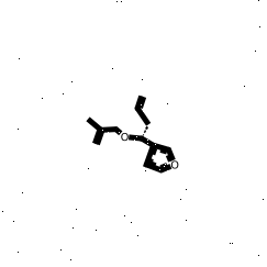 C=CC[C@@H](OCC(=C)C)c1ccoc1